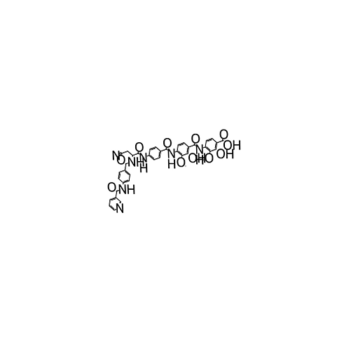 COc1c(NC(=O)c2ccc(NC(=O)c3ccc(NC(=O)C(CC#N)NC(=O)c4ccc(NC(=O)c5cccnc5)cc4)cc3)c(OC)c2O)ccc(C(=O)O)c1O